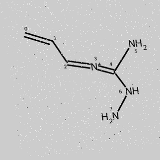 C=CC=[N+]=C(N)NN